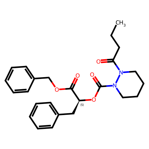 CCCC(=O)N1CCCCN1C(=O)O[C@@H](Cc1ccccc1)C(=O)OCc1ccccc1